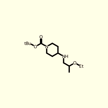 CCOC(C)CNC1CCN(C(=O)OC(C)(C)C)CC1